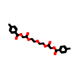 Cc1ccc(C(=O)OCC(=O)OCCOCCOC(=O)COC(=O)c2ccc(C)cc2)cc1